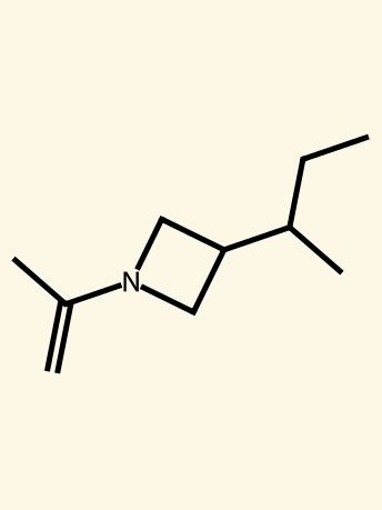 C=C(C)N1CC(C(C)CC)C1